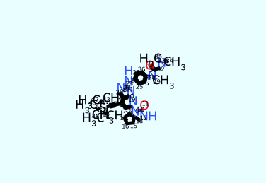 CC(C)[Si](C#Cc1cc(N2C(=O)NCC23CCCC3)nc2nc(Nc3ccc(N(C)C(=O)CN(C)C)cc3)ncc12)(C(C)C)C(C)C